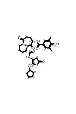 Cc1cc(C(=O)N[C@H]2CCC(=O)N3CCC[C@@H](C(=O)N[C@H]4CC(=O)O[C@@H]4OC4CCCC4)N3C2=O)cc(C)c1O